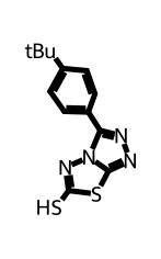 CC(C)(C)c1ccc(-c2nnc3sc(S)nn23)cc1